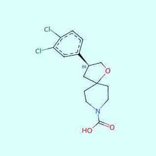 O=C(O)N1CCC2(CC1)C[C@@H](c1ccc(Cl)c(Cl)c1)CO2